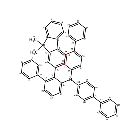 CC1(C)c2ccccc2-c2ccc(-c3c(-c4ccccc4)cccc3N(c3ccc(-c4ccccc4)cc3)c3ccc(-c4ccccc4)cc3)cc21